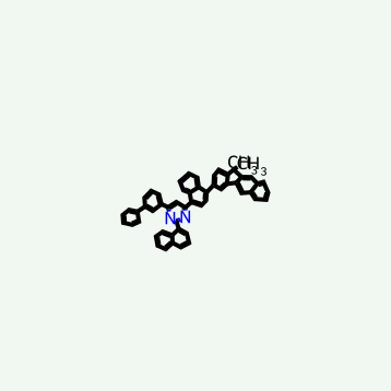 CC1(C)c2ccc(-c3ccc(-c4cc(-c5cccc(-c6ccccc6)c5)nc(-c5cccc6ccccc56)n4)c4ccccc34)cc2-c2cc3ccccc3cc21